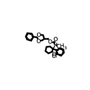 CN(C(=O)OCC1COC(c2ccccc2)OC1)[C@]1(c2ccccc2Cl)CCCCC1=O